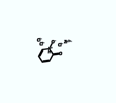 O=C1C=CC=C[NH+]1[O-].[Cl-].[Cl-].[Cl-].[Zr+3]